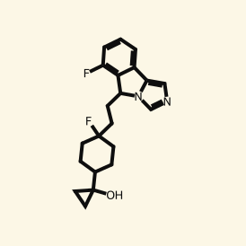 OC1(C2CCC(F)(CCC3c4c(F)cccc4-c4cncn43)CC2)CC1